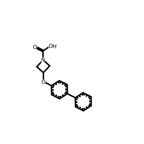 O=C(O)N1CC(Oc2ccc(-c3ccccc3)cc2)C1